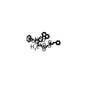 CN(CCS(=O)(=O)CCOC(=O)C=Cc1ccccc1)c1nc(OCC23CCCN2CCC3)nc2c1CCN(c1cccc3cccc(Cl)c13)C2